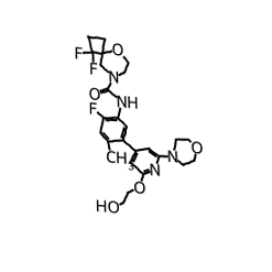 Cc1cc(F)c(NC(=O)N2CCOC3(CCC3(F)F)C2)cc1-c1cc(OCCO)nc(N2CCOCC2)c1